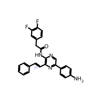 Nc1ccc(-c2cnc(NC(=O)Cc3ccc(F)c(F)c3)c(/C=C/c3ccccc3)n2)cc1